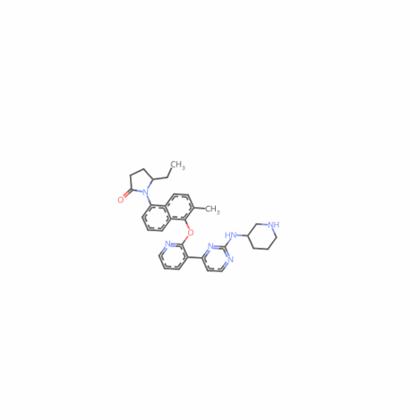 CCC1CCC(=O)N1c1cccc2c(Oc3ncccc3-c3ccnc(NC4CCCNC4)n3)c(C)ccc12